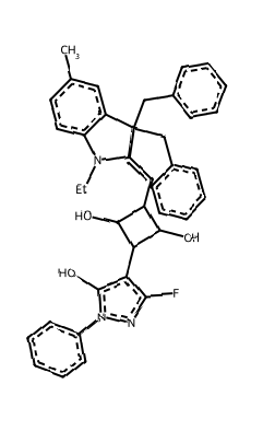 CCN1C(=CC2C(O)C(c3c(F)nn(-c4ccccc4)c3O)C2O)C(Cc2ccccc2)(Cc2ccccc2)c2cc(C)ccc21